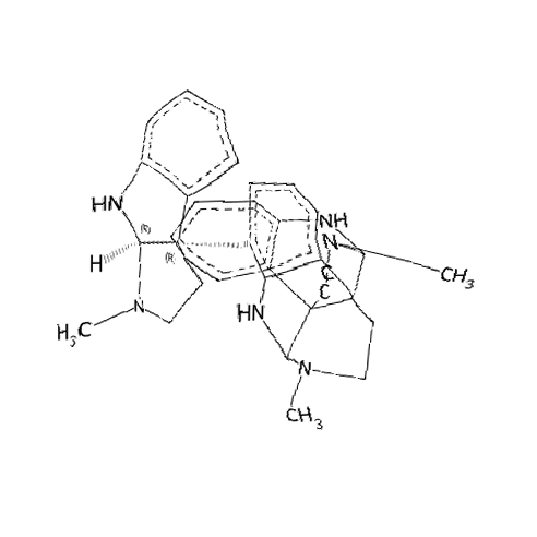 CN1CCC23c4cccc([C@]56CCN(C)[C@H]5Nc5ccccc56)c4NC1C21CCN(C)C3Nc2ccccc21